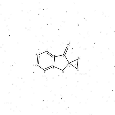 O=C1c2ccccc2CC12CC2